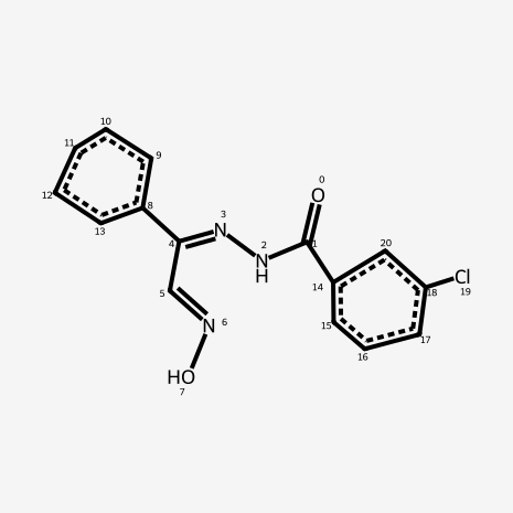 O=C(NN=C(C=NO)c1ccccc1)c1cccc(Cl)c1